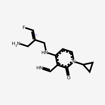 N=Cc1c(NC/C(=C/F)CN)ccn(C2CC2)c1=O